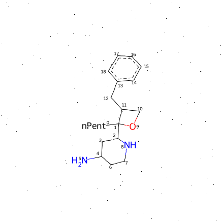 CCCCCC1(C2CC(N)CCN2)OCC1Cc1ccccc1